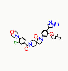 COc1cc(N2CCC3(CCN(C(=O)c4ccc(N5CCOCC5)c(F)c4)CC3)C2=O)ccc1-c1cn[nH]c1